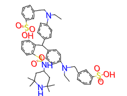 CCN(Cc1cccc(S(=O)(=O)O)c1)c1ccc(C(c2ccc(N(CC)Cc3cccc(S(=O)(=O)O)c3)cc2)c2ccccc2S(=O)(=O)NC2CC(C)(C)NC(C)(C)C2)cc1